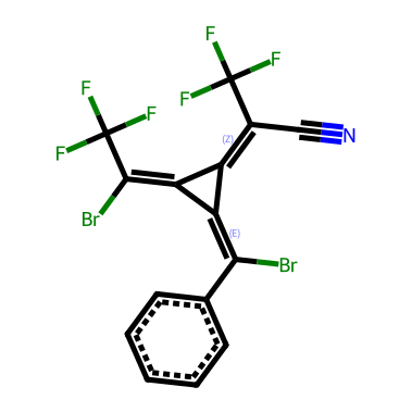 N#C/C(=C1/C(=C(Br)C(F)(F)F)/C1=C(/Br)c1ccccc1)C(F)(F)F